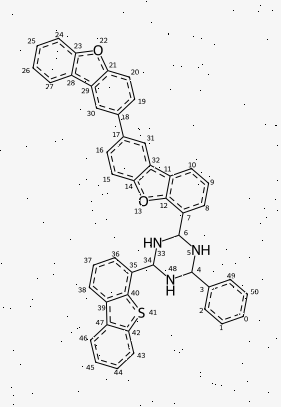 c1ccc(C2NC(c3cccc4c3oc3ccc(-c5ccc6oc7ccccc7c6c5)cc34)NC(c3cccc4c3sc3ccccc34)N2)cc1